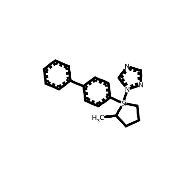 CC1CCC[Si]1(c1ccc(-c2ccccc2)cc1)n1cncn1